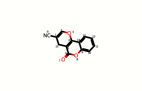 N#CC1=COc2c(c(=O)oc3ccccc23)C1